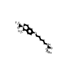 CC1c2ccc(OCCCCCNC(=O)OC(C)(C)C)cc2CCN1C(=O)C(F)(F)F